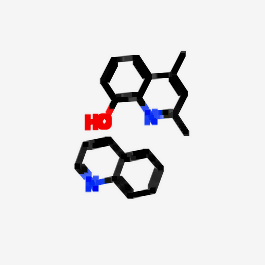 Cc1cc(C)c2cccc(O)c2n1.c1ccc2ncccc2c1